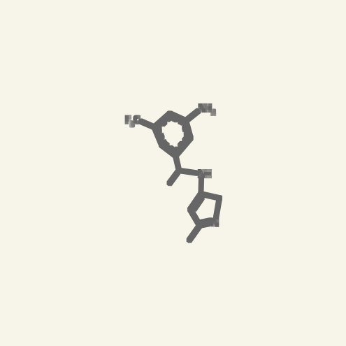 CC1=NCC(NC(C)c2cc(N)cc(C(F)(F)F)c2)=C1